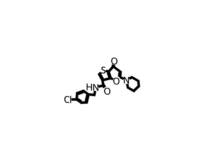 O=C(NCc1ccc(Cl)cc1)c1csc2c(=O)cc(N3CCCCC3)oc12